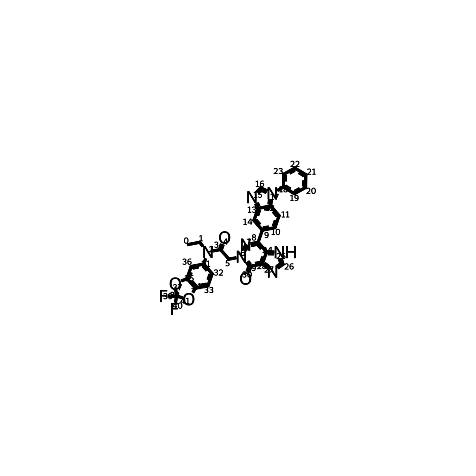 CCN(C(=O)Cn1nc(-c2ccc3c(c2)ncn3-c2ccccc2)c2[nH]cnc2c1=O)c1ccc2c(c1)OC(F)(F)O2